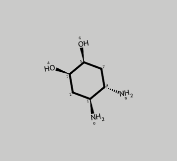 N[C@H]1C[C@@H](O)[C@@H](O)C[C@@H]1N